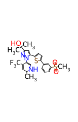 CC1C=C(C(F)(F)F)C(n2nc(C(C)(C)O)cc2-c2ccc(-c3cccc(S(C)(=O)=O)c3)s2)=CN1